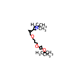 CC(C)(C)OC1CC(OCCCCOCC2CC2C2CN(C(C)(C)C)C2)C1